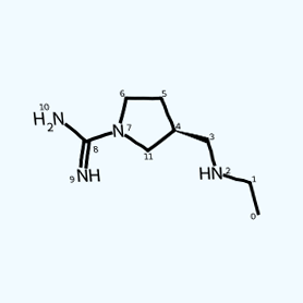 CCNC[C@@H]1CCN(C(=N)N)C1